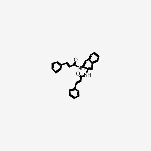 O=C(C=Cc1ccccc1)Nc1cc2ccccc2cc1NC(=O)C=Cc1ccccc1